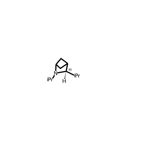 CC(C)[C@@H]1C2CC(C2)N1C(C)C